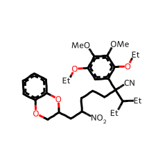 CCOc1cc(C(C#N)(CCCC(CC2COc3ccccc3O2)[N+](=O)[O-])C(CC)CC)c(OCC)c(OC)c1OC